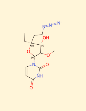 CC[C@@]1(CCN=[N+]=[N-])O[C@@H](n2ccc(=O)[nH]c2=O)C(OC)[C@H]1O